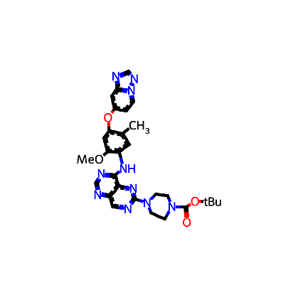 COc1cc(Oc2ccn3ncnc3c2)c(C)cc1Nc1ncnc2cnc(N3CCN(C(=O)OC(C)(C)C)CC3)nc12